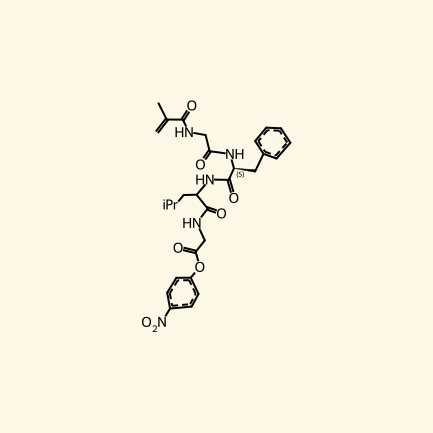 C=C(C)C(=O)NCC(=O)N[C@@H](Cc1ccccc1)C(=O)NC(CC(C)C)C(=O)NCC(=O)Oc1ccc([N+](=O)[O-])cc1